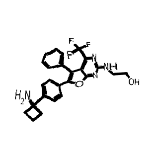 NC1(c2ccc(-c3oc4nc(NCCO)nc(C(F)(F)F)c4c3-c3ccccc3)cc2)CCC1